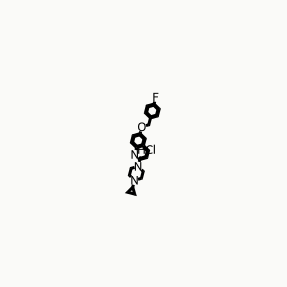 Cl.Fc1ccc(COc2ccc3nc(N4CCN(C5CC5)CC4)ccc3c2)cc1